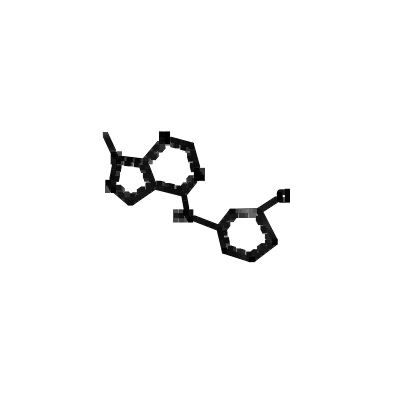 Cn1ncc2c(Nc3cccc(Cl)c3)ncnc21